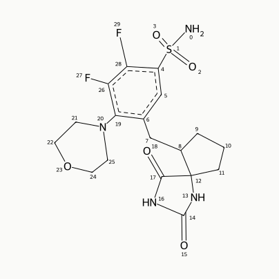 NS(=O)(=O)c1cc(CC2CCCC23NC(=O)NC3=O)c(N2CCOCC2)c(F)c1F